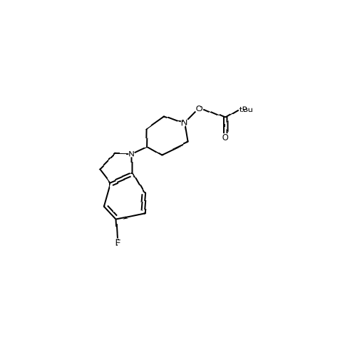 CC(C)(C)C(=O)ON1CCC(N2CCc3cc(F)ccc32)CC1